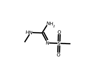 CNC(N)=NS(C)(=O)=O